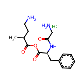 CC(CCN)C(=O)OC(=O)[C@H](Cc1ccccc1)NC(=O)CN.Cl